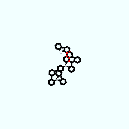 c1cc(-c2ccc(N(c3ccc(-c4cccc5c4oc4ccccc45)cc3)c3ccccc3-c3cc4ccccc4c4ccccc34)cc2)cc(-c2ccccc2-n2c3ccccc3c3ccccc32)c1